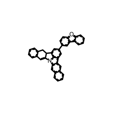 C1=C2C(Cc3ccccc31)c1cc(-c3ccc4oc5ccccc5c4c3)cc3c4cc5ccccc5cc4n2c13